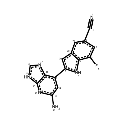 N#Cc1cc(F)c2[nH]c(-c3cc(N)nc4[nH]cnc34)cc2c1